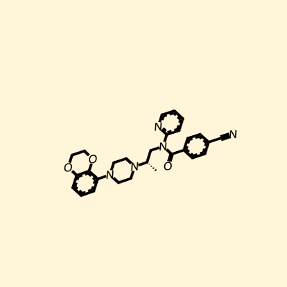 C[C@@H](CN(C(=O)c1ccc(C#N)cc1)c1ccccn1)N1CCN(c2cccc3c2OCCO3)CC1